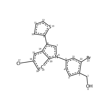 OCc1ccc(-n2cc(-c3cccs3)c3cc(Cl)ccc32)cc1Br